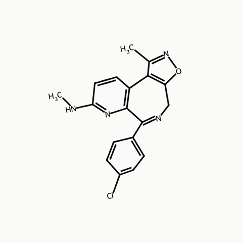 CNc1ccc2c(n1)C(c1ccc(Cl)cc1)=NCc1onc(C)c1-2